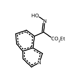 CCOC(=O)/C(=N/O)c1cccc2ccncc12